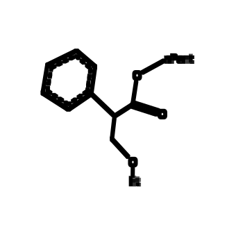 CCCCCOC(=O)C(COCC)c1ccccc1